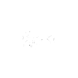 N[C@H](c1cc(C(F)F)ccc1F)N1CCC(OCc2ccccc2)CC1